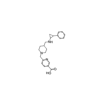 O=C(O)c1ccc(CN2CCC(CNC3CC3c3ccccc3)CC2)nc1